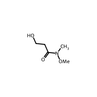 CON(C)C(=O)CCO